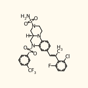 C/C(=C\c1ccc2c(c1)N(S(=O)(=O)c1cccc(C(F)(F)F)c1)C[C@@H]1CN(S(N)(=O)=O)CCN21)c1c(F)cccc1Cl